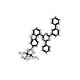 CC1(C)OB(c2ccc3c(c2)oc2cccc(-c4nc(-c5ccccc5)nc(-c5cccc(-c6ccccc6)c5)n4)c23)OC1(C)C